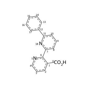 O=C(O)c1cccnc1-c1cccc(-c2ccccc2)n1